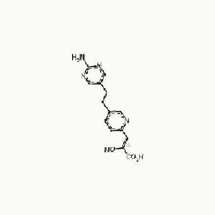 Nc1ncc(CCc2ccc(/C=C(\O)C(=O)O)nc2)cn1